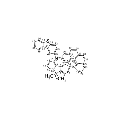 CC1(C)c2ccccc2-c2c(N(c3ccc4c(ccc5ccc6ccccc6c54)c3)c3ccc4sc5ccccc5c4c3)cccc21